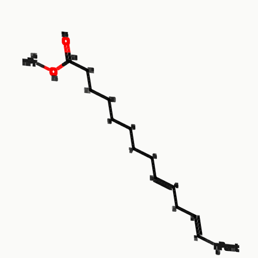 CCCCCC=CCC=CCCCCCCCC(=O)OCCC